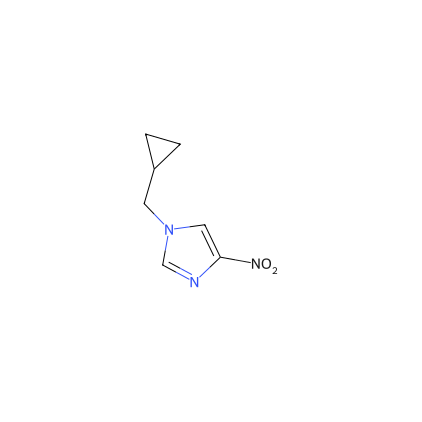 O=[N+]([O-])c1cn(CC2CC2)cn1